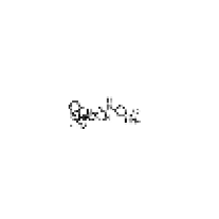 CCS(=O)(=O)Nc1ncccc1Cn1ccc2cnc(Nc3ccc(C(=O)NC)cc3)nc21